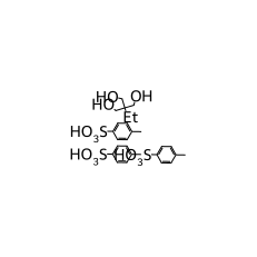 CCC(CO)(CO)CO.Cc1ccc(S(=O)(=O)O)cc1.Cc1ccc(S(=O)(=O)O)cc1.Cc1ccc(S(=O)(=O)O)cc1